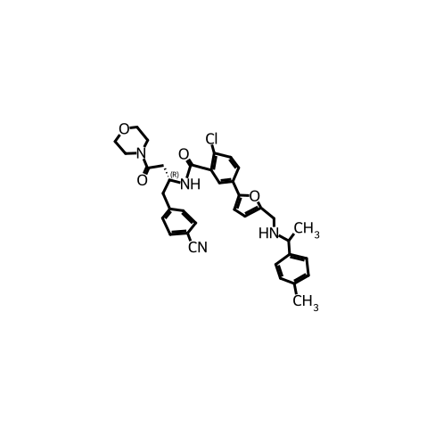 Cc1ccc(C(C)NCc2ccc(-c3ccc(Cl)c(C(=O)N[C@@H](CC(=O)N4CCOCC4)Cc4ccc(C#N)cc4)c3)o2)cc1